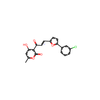 Cc1cc(O)c(C(=O)/C=C/c2ccc(-c3cccc(Cl)c3)o2)c(=O)o1